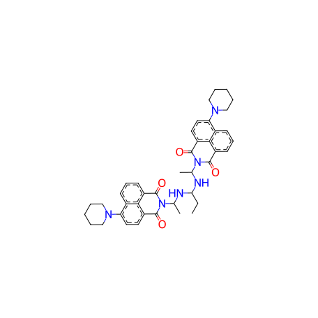 CCC(NC(C)N1C(=O)c2cccc3c(N4CCCCC4)ccc(c23)C1=O)NC(C)N1C(=O)c2cccc3c(N4CCCCC4)ccc(c23)C1=O